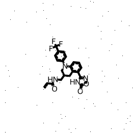 C=CC(=O)NCC1Cc2c(-c3noc(=O)[nH]3)cccc2N(c2ccc(C(F)(F)F)cc2)C1